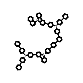 c1ccc(-c2ccc(N(c3ccc(-c4ccccc4)cc3)c3ccc(-c4ccc5c(c4)c4ccccc4n5-c4ccc(-c5ccc(-c6cccc(-c7ccc(N(c8ccc(-c9ccccc9)cc8)c8ccc(-c9ccc%10c(c9)c9ccccc9n%10-c9cccc%10ccccc9%10)cc8)cc7)c6)cc5)cc4)cc3)cc2)cc1